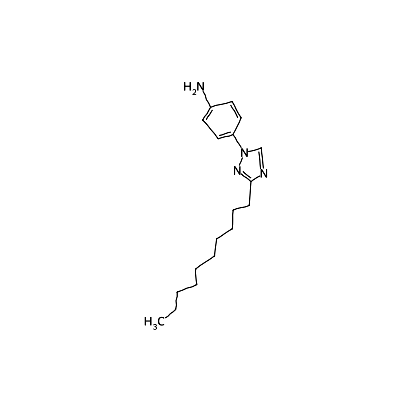 CCCCCCCCCCc1ncn(-c2ccc(N)cc2)n1